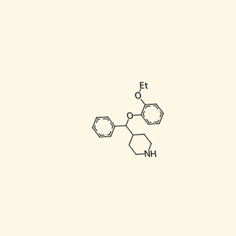 CCOc1ccccc1OC(c1ccccc1)C1CCNCC1